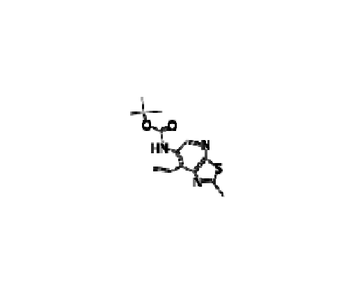 C=Cc1c(NC(=O)OC(C)(C)C)cnc2sc(C)nc12